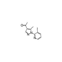 CC(=O)c1cnn(-c2ncccc2I)c1C